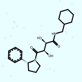 O=C(NCC1CCCCC1)[C@H](O)[C@@H](O)C(=O)N1CCC[C@@H]1c1ccccc1